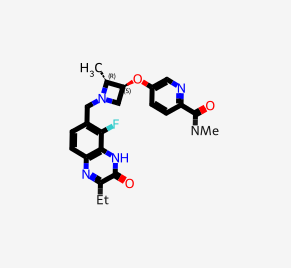 CCc1nc2ccc(CN3C[C@H](Oc4ccc(C(=O)NC)nc4)[C@H]3C)c(F)c2[nH]c1=O